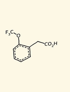 O=C(O)Cc1ccccc1OC(F)(F)F